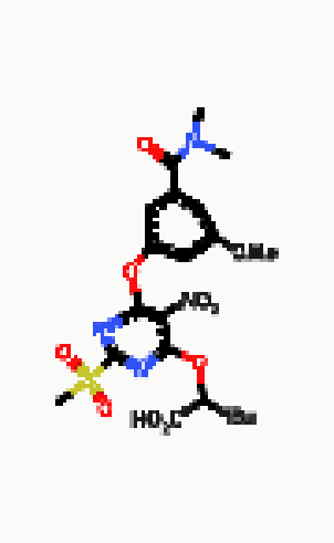 CCC(C)C(Oc1nc(S(C)(=O)=O)nc(Oc2cc(OC)cc(C(=O)N(C)C)c2)c1[N+](=O)[O-])C(=O)O